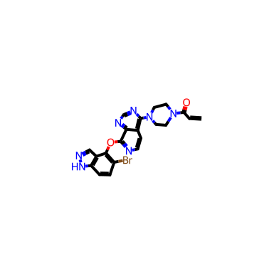 C=CC(=O)N1CCN(c2ncnc3c(Oc4c(Br)ccc5[nH]ncc45)nccc23)CC1